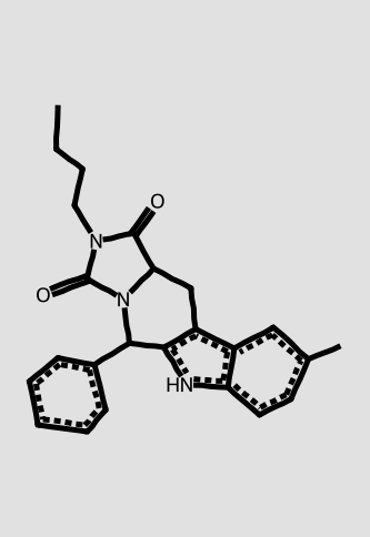 CCCCN1C(=O)C2Cc3c([nH]c4ccc(C)cc34)C(c3ccccc3)N2C1=O